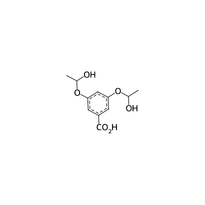 CC(O)Oc1cc(OC(C)O)cc(C(=O)O)c1